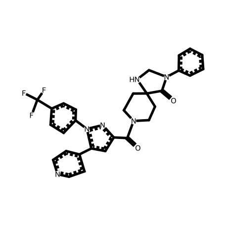 O=C(c1cc(-c2ccncc2)n(-c2ccc(C(F)(F)F)cc2)n1)N1CCC2(CC1)NCN(c1ccccc1)C2=O